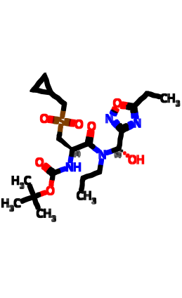 CCCN(C(=O)[C@H](CS(=O)(=O)CC1CC1)NC(=O)OC(C)(C)C)[C@@H](O)c1noc(CC)n1